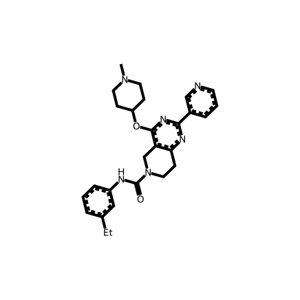 CCc1cccc(NC(=O)N2CCc3nc(-c4cccnc4)nc(OC4CCN(C)CC4)c3C2)c1